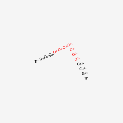 [Ca+2].[Ca+2].[Cu+2].[Cu+2].[O-2].[O-2].[O-2].[O-2].[O-2].[O-2].[O-2].[Sr+2].[Sr+2].[Tl+].[Tl+]